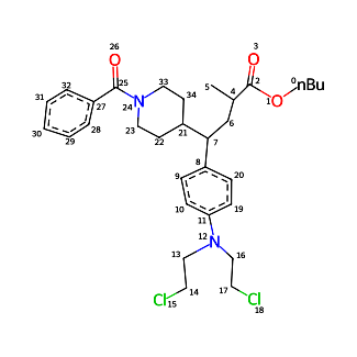 CCCCOC(=O)C(C)CC(c1ccc(N(CCCl)CCCl)cc1)C1CCN(C(=O)c2ccccc2)CC1